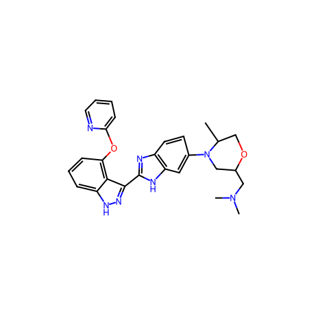 CC1COC(CN(C)C)CN1c1ccc2nc(-c3n[nH]c4cccc(Oc5ccccn5)c34)[nH]c2c1